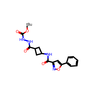 CC(C)(C)OC(=O)NNC(=O)C1CC(NC(=O)c2cc(-c3ccccc3)on2)C1